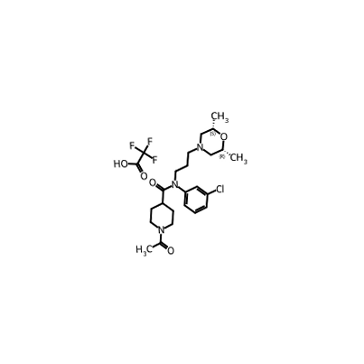 CC(=O)N1CCC(C(=O)N(CCCN2C[C@@H](C)O[C@@H](C)C2)c2cccc(Cl)c2)CC1.O=C(O)C(F)(F)F